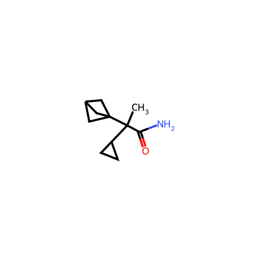 CC(C(N)=O)(C1CC1)C12CC(C1)C2